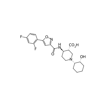 O=C(N[C@@H]1CCN([C@H]2CCCC[C@H]2O)C[C@H]1C(=O)O)c1cc(-c2ccc(F)cc2F)on1